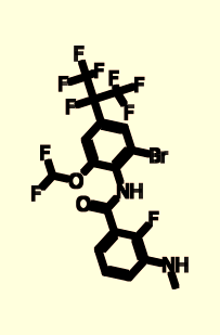 CNc1cccc(C(=O)Nc2c(Br)cc(C(F)(C(F)(F)F)C(F)(F)F)cc2OC(F)F)c1F